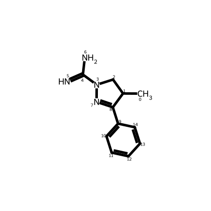 CC1CN(C(=N)N)N=C1c1ccccc1